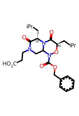 CC(C)C[C@H]1ON(C(=O)OCc2ccccc2)C2CN(CCC(=O)O)C(=O)[C@H](CC(C)C)N2C1=O